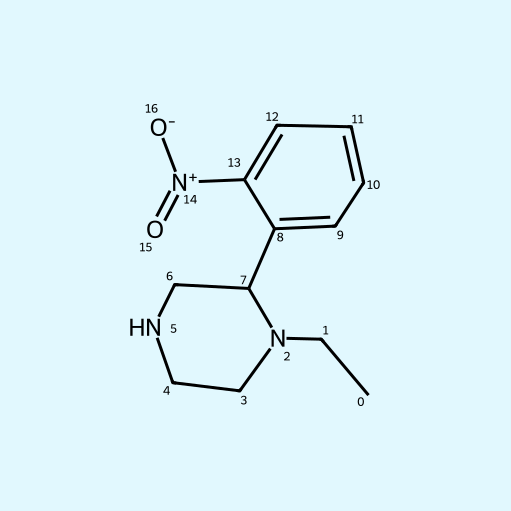 CCN1CCNCC1c1ccccc1[N+](=O)[O-]